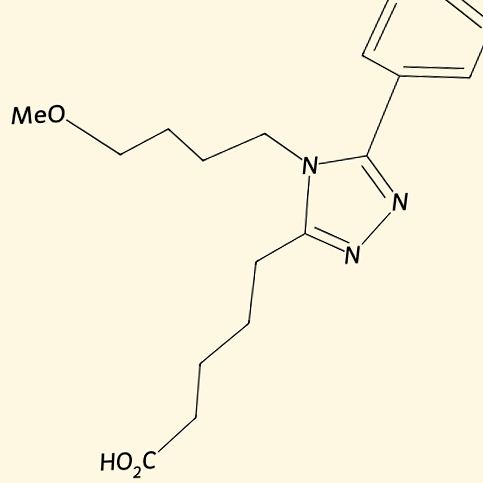 COCCCCn1c(CCCCC(=O)O)nnc1-c1ccccc1